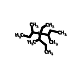 CCC(C)[Si](CC)(C(C)CC)C(C)CC